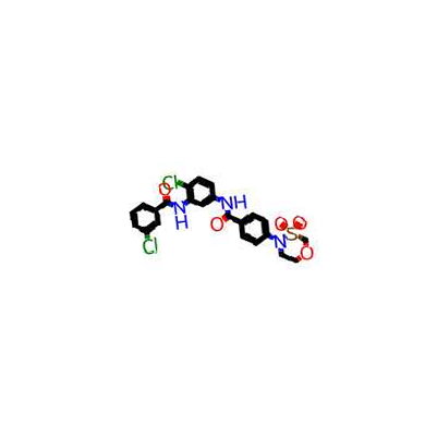 O=C(Nc1ccc(Cl)c(NC(=O)c2cccc(Cl)c2)c1)c1ccc(N2CCOCS2(=O)=O)cc1